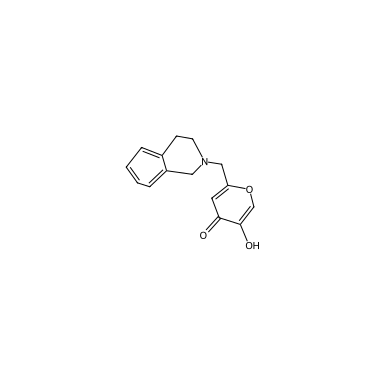 O=c1cc(CN2CCc3ccccc3C2)occ1O